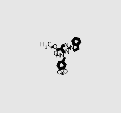 CCOC(=O)c1cnc(N2CCc3ccccc32)nc1NCc1ccc2c(c1)OCO2